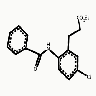 CCOC(=O)CCc1cc(Cl)ccc1NC(=O)c1ccccc1